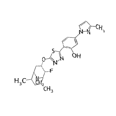 Cc1ccn(-c2ccc(-c3nnc(OC4CC5C(C)CC(C)C(C4F)N5C)s3)c(O)c2)n1